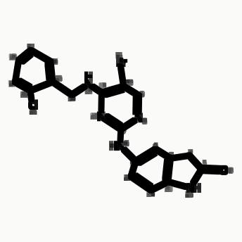 O=C1Cc2cc(Nc3ncc(Br)c(NCc4ccccc4Cl)n3)ccc2N1